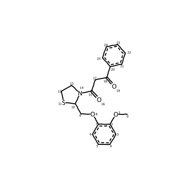 COc1ccccc1OCC1SCCN1C(=O)CC(=O)c1ccccc1